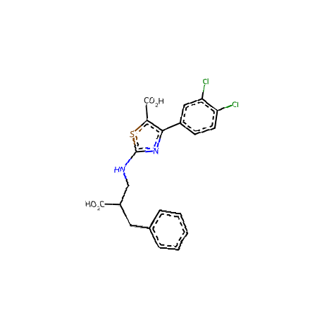 O=C(O)c1sc(NCC(Cc2ccccc2)C(=O)O)nc1-c1ccc(Cl)c(Cl)c1